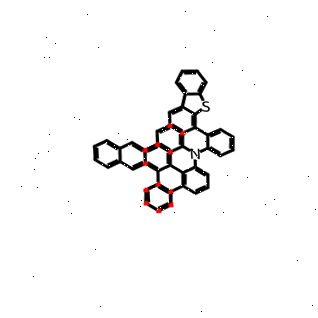 c1ccc(-c2ccccc2-c2c(-c3ccccc3)cccc2N(c2cccc(-c3ccc4ccccc4c3)c2)c2ccccc2-c2cccc3c2sc2ccccc23)cc1